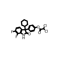 O=C(Oc1ccc(C2(C3CCCCC3)C(=O)Nc3c2ccc(F)c3F)cc1)C(Cl)Cl